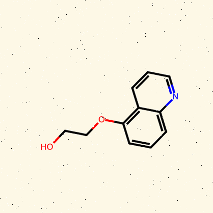 OCCOc1cccc2ncccc12